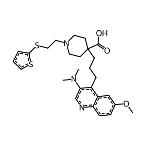 COc1ccc2ncc(N(C)C)c(CCCC3(C(=O)O)CCN(CCSc4cccs4)CC3)c2c1